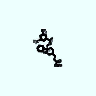 COC(=O)CCC1=CN[C@](CO[C@H](C)c2cc(C(F)(F)F)cc(C(F)(F)F)c2)(c2ccccc2)CC1